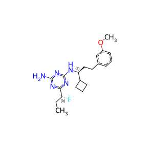 CC[C@@H](F)c1nc(N)nc(N[C@@H](CCc2cccc(OC)c2)C2CCC2)n1